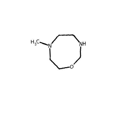 CN1CCNCOCC1